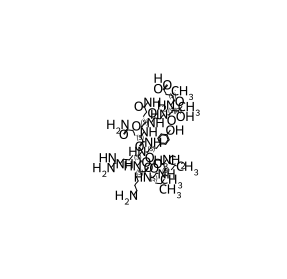 CC(C)C[C@H](NC(=O)[C@H](CC(C)C)NC(=O)[C@H](CCCCN)NC(=O)[C@H](CCCNC(=N)N)NC(=O)[C@H](Cc1ccc(O)cc1)NC(=O)[C@H](CCC(N)=O)NC(=O)[C@H](CCC(N)=O)NC(=O)CNC(=O)[C@@H](NC(=O)[C@@H](C)CC(=O)O)[C@@H](C)O)C(N)=O